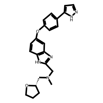 CN(Cc1nc2cc(Oc3ccc(-c4ccn[nH]4)cc3)ccc2[nH]1)C[C@@H]1CCCO1